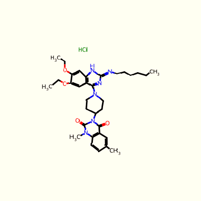 CCCCCCN=c1nc(N2CCC(n3c(=O)c4cc(C)ccc4n(C)c3=O)CC2)c2cc(OCC)c(OCC)cc2[nH]1.Cl